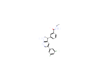 CCNC(=O)c1cccc(C2CNc3ncc(-c4cc(Cl)cc(Cl)c4)cc32)c1